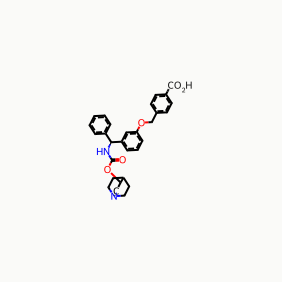 O=C(N[C@@H](c1ccccc1)c1cccc(OCc2ccc(C(=O)O)cc2)c1)OC1CN2CCC1CC2